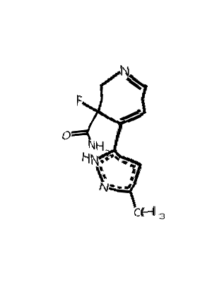 Cc1cc(C2=CC=NCC2(F)C(N)=O)[nH]n1